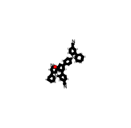 N#Cc1cc(-c2ccc(-n3c4c(c5cc(C#N)ccc53)CC=CC=C4)cc2)cc(-c2ccc(C#N)cc2-n2c3ccccc3c3ccccc32)c1